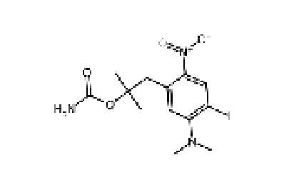 CN(C)c1cc(CC(C)(C)OC(N)=O)c([N+](=O)[O-])cc1I